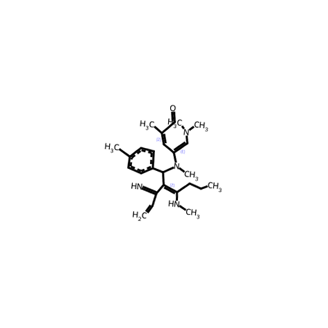 C=CC(=N)/C(=C(/CCC)NC)C(c1ccc(C)cc1)N(C)C(/C=C(/C)C=O)=C/N(C)C